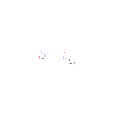 Cc1csc(N2C[C@H](COc3ccon3)OC2=O)c1